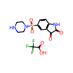 O=C(O)C(F)(F)F.O=C1Nc2ccc(S(=O)(=O)N3CCNCC3)cc2C1=O